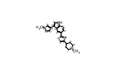 CN1CCC(c2csc(-c3cnc4[nH]cc(-c5cnn(C)c5)c4c3)n2)CC1